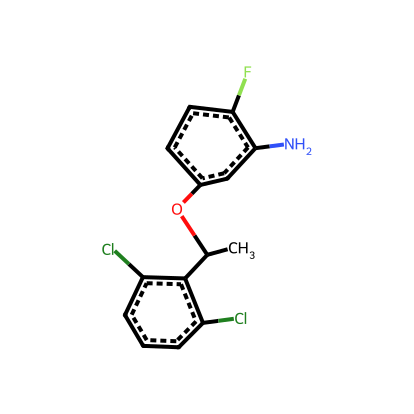 CC(Oc1ccc(F)c(N)c1)c1c(Cl)cccc1Cl